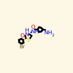 NCc1ccc(C(=O)NC[C@@H]2CCS[C@H](c3cccc(Br)c3)C(=O)N2)cc1